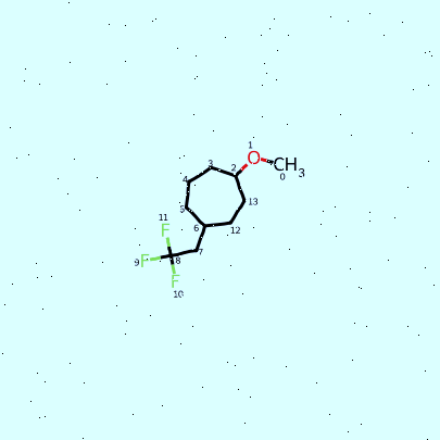 COC1CCCC(CC(F)(F)F)CC1